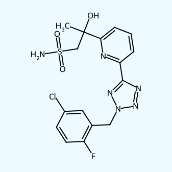 CC(O)(CS(N)(=O)=O)c1cccc(-c2nnn(Cc3cc(Cl)ccc3F)n2)n1